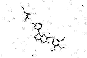 CCCNC(=O)CCc1cccc(-n2ccc3cnc(Nc4cc(OC)c(OC)c(OC)c4)nc32)c1